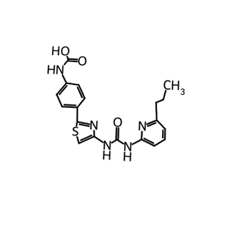 CCCc1cccc(NC(=O)Nc2csc(-c3ccc(NC(=O)O)cc3)n2)n1